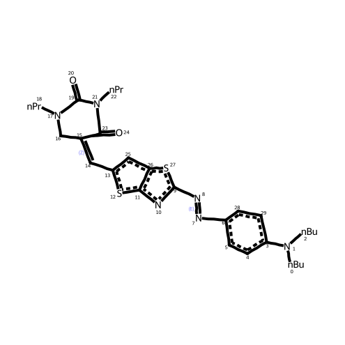 CCCCN(CCCC)c1ccc(/N=N/c2nc3sc(/C=C4/CN(CCC)C(=O)N(CCC)C4=O)cc3s2)cc1